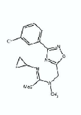 CSC(=NC1CC1)N(C)Cc1nc(-c2cccc(Cl)c2)no1